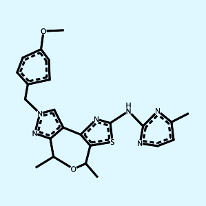 COc1ccc(Cn2cc3c(n2)C(C)OC(C)c2sc(Nc4nccc(C)n4)nc2-3)cc1